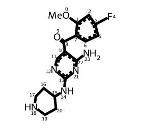 COc1cc(F)ccc1C(=O)c1cnc(NC2CCNCC2)nc1N